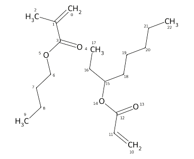 C=C(C)C(=O)OCCCC.C=CC(=O)OC(CC)CCCCC